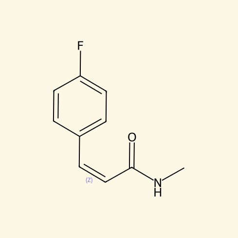 CNC(=O)/C=C\c1ccc(F)cc1